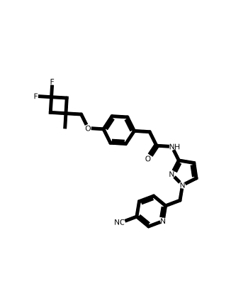 CC1(COc2ccc(CC(=O)Nc3ccn(Cc4ccc(C#N)cn4)n3)cc2)CC(F)(F)C1